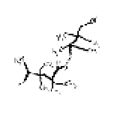 C=C(N)C(C)(C)C(C)(C)BSC(C)(C)C(C)(C)CO